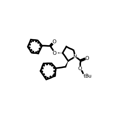 CC(C)(C)OC(=O)N1CC[C@@H](OC(=O)c2ccccc2)[C@@H]1Cc1ccccc1